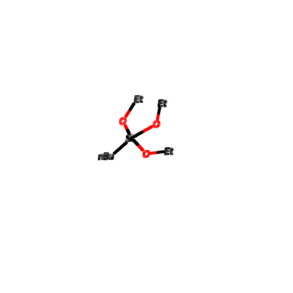 [CH2]CCC[Si](OCC)(OCC)OCC